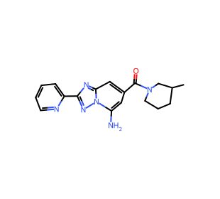 CC1CCCN(C(=O)c2cc(N)n3nc(-c4ccccn4)nc3c2)C1